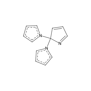 C1=CC(n2cccc2)(n2cccc2)N=C1